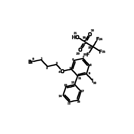 BrCCCOc1cccc(I)c1-c1ccccc1.O=S(=O)(O)C(F)(F)F